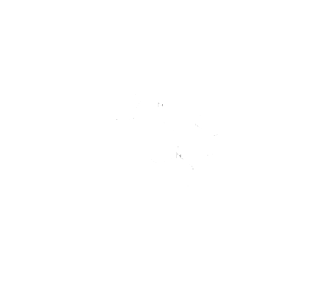 O=C(C1CC=CS1)N1CCc2c([nH]c3ccccc23)C1c1ccccc1